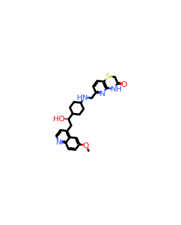 COc1ccc2nccc(C[C@@H](O)C3CCC(NCc4ccc5c(n4)NC(=O)CS5)CC3)c2c1